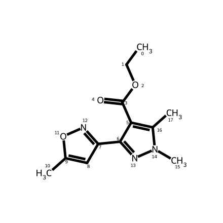 CCOC(=O)c1c(-c2cc(C)on2)nn(C)c1C